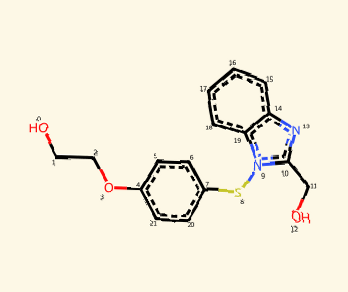 OCCOc1ccc(Sn2c(CO)nc3ccccc32)cc1